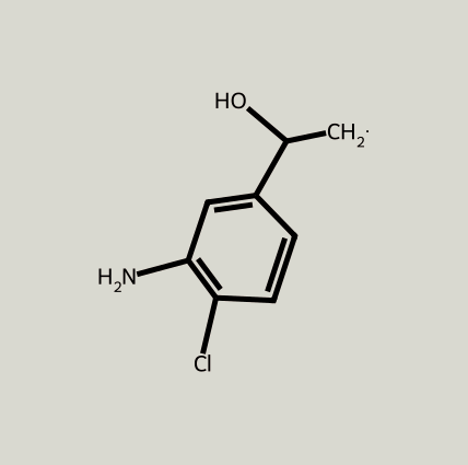 [CH2]C(O)c1ccc(Cl)c(N)c1